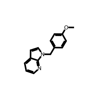 COc1ccc(Cn2ccc3cccnc32)cc1